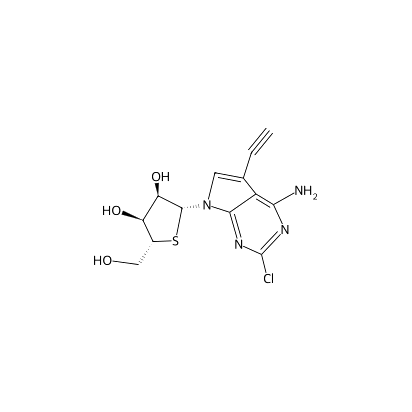 C#Cc1cn([C@@H]2S[C@H](CO)[C@@H](O)[C@H]2O)c2nc(Cl)nc(N)c12